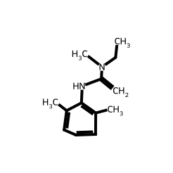 C=C(Nc1c(C)cccc1C)N(C)CC